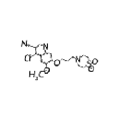 COc1cc2c(Cl)c(C#N)cnc2cc1OCCCN1CCS(=O)(=O)CC1